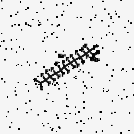 O=S(=O)([O-])C(F)(F)C(F)(F)C(F)(F)C(F)(F)C(F)(F)C(F)(F)C(F)(F)C(F)(F)C(F)(F)C(F)(F)C(F)F.[Na+]